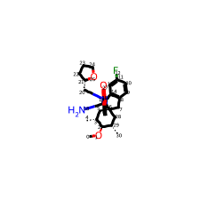 CO[C@H]1[C@H](C)C[C@@]2(Cc3ccc(F)cc3[C@]23N=C(N)N(C[C@@H]2CCCO2)C3=O)C[C@@H]1C